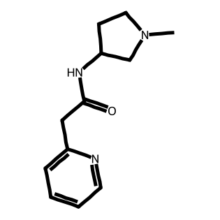 CN1CCC(NC(=O)Cc2ccccn2)C1